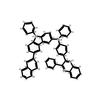 c1ccc(-c2nc3ccccc3nc2-c2ccc(N(c3ccccc3)c3ccc4c(c3)c3cc(-c5ccc6ccccc6c5)ccc3n4-c3ccccc3)cc2)cc1